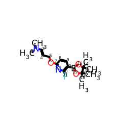 CN(C)C=CCOc1ccc(B2OC(C)(C)C(C)(C)O2)c(F)n1